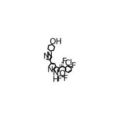 OC1CCC(n2cc(-c3cnc4[nH]cc([C@H](CF)c5c(OC(F)F)ccc(F)c5Cl)c4c3)cn2)CC1